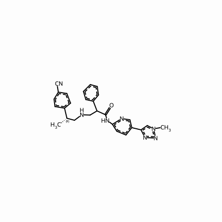 C[C@@H](CNCC(C(=O)Nc1ccc(-c2cn(C)nn2)cn1)c1ccccc1)c1ccc(C#N)cc1